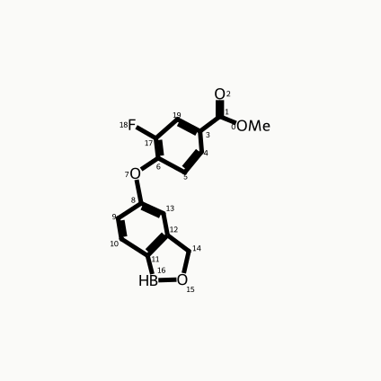 COC(=O)c1ccc(Oc2ccc3c(c2)COB3)c(F)c1